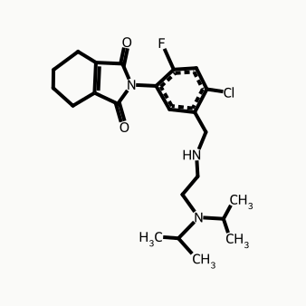 CC(C)N(CCNCc1cc(N2C(=O)C3=C(CCCC3)C2=O)c(F)cc1Cl)C(C)C